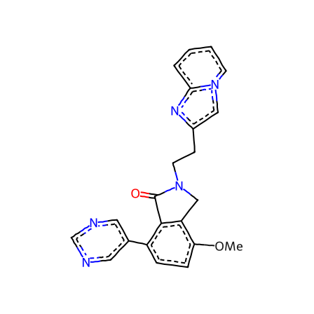 COc1ccc(-c2cncnc2)c2c1CN(CCc1cn3ccccc3n1)C2=O